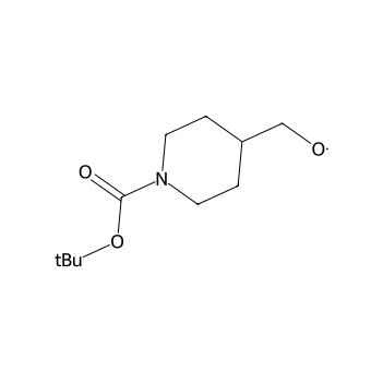 CC(C)(C)OC(=O)N1CCC(C[O])CC1